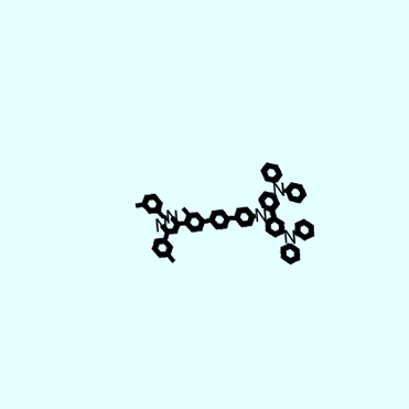 Cc1cccc(-c2cc(-c3ccc(-c4ccc(-c5ccc(-n6c7ccc(N(c8ccccc8)c8ccccc8)cc7c7cc(N(c8ccccc8)c8ccccc8)ccc76)cc5)cc4)cc3C)nc(-c3cccc(C)c3)n2)c1